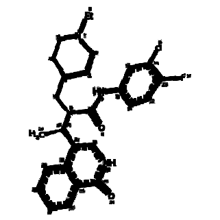 CCN1CCC(CN(C(=O)Nc2ccc(F)c(Cl)c2)[C@H](C)c2c[nH]c(=O)c3ccccc23)CC1